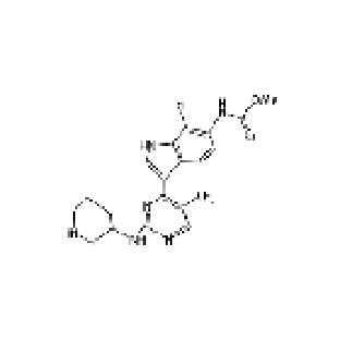 COC(=O)Nc1ccc2c(-c3nc(NC4CCCNC4)ncc3C(F)(F)F)c[nH]c2c1Cl